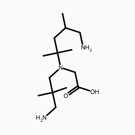 CC(CN)CC(C)(C)N(CC(=O)O)CC(C)(C)CN